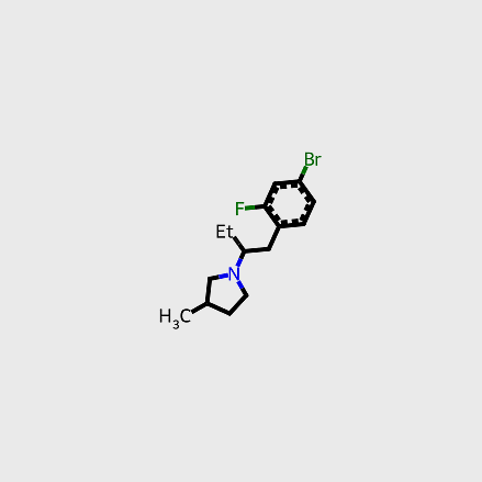 CCC(Cc1ccc(Br)cc1F)N1CCC(C)C1